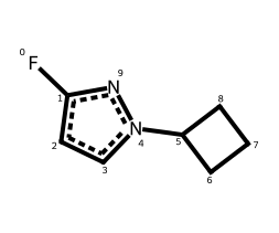 Fc1ccn(C2CCC2)n1